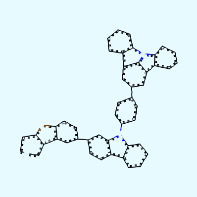 c1ccc2c(c1)sc1ccc(-c3ccc4c5ccccc5n(-c5ccc(-c6cc7c8ccccc8n8c9ccccc9c(c6)c78)cc5)c4c3)cc12